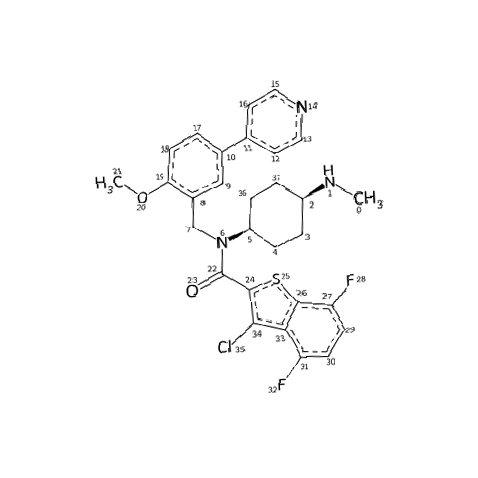 CN[C@H]1CC[C@@H](N(Cc2cc(-c3ccncc3)ccc2OC)C(=O)c2sc3c(F)ccc(F)c3c2Cl)CC1